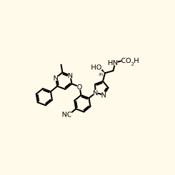 Cc1nc(Oc2cc(C#N)ccc2-n2cc([C@@H](O)CNC(=O)O)cn2)cc(-c2ccccc2)n1